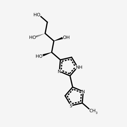 Cc1nc(-c2nc([C@@H](O)[C@H](O)[C@H](O)CO)c[nH]2)cs1